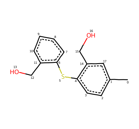 Cc1ccc(Sc2ccccc2CO)c(CO)c1